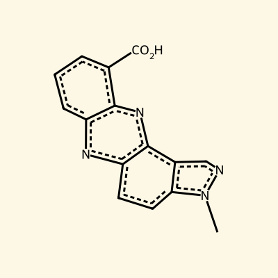 Cn1ncc2c3nc4c(C(=O)O)cccc4nc3ccc21